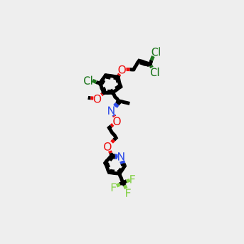 COc1c(Cl)cc(OCC=C(Cl)Cl)cc1/C(C)=N/OCCOc1ccc(C(F)(F)F)cn1